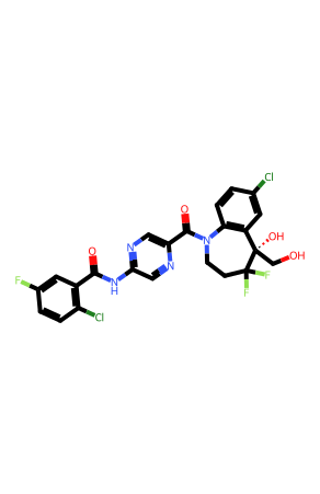 O=C(Nc1cnc(C(=O)N2CCC(F)(F)[C@](O)(CO)c3cc(Cl)ccc32)cn1)c1cc(F)ccc1Cl